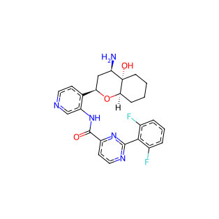 N[C@@H]1C[C@H](c2ccncc2NC(=O)c2ccnc(-c3c(F)cccc3F)n2)O[C@@H]2CCCC[C@]12O